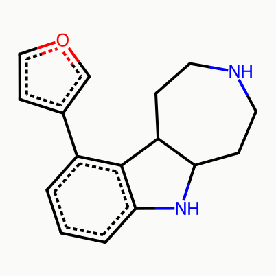 c1cc2c(c(-c3ccoc3)c1)C1CCNCCC1N2